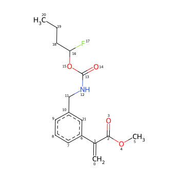 C=C(C(=O)OC)c1cccc(CNC(=O)OC(F)CCC)c1